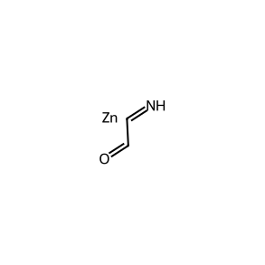 N=CC=O.[Zn]